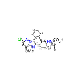 COc1cc(Cl)nn2c(-c3ccccc3)c(-c3ccc(C4(NC(=O)O)CCC4)cc3)nc12